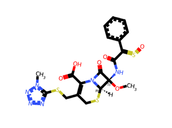 CO[C@@]1(NC(=O)C(=S=O)c2ccccc2)C(=O)N2C(C(=O)O)=C(CSc3nnnn3C)CS[C@@H]21